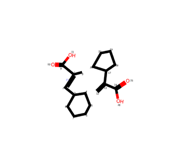 C/C(=C\C1CCCCC1)C(=O)O.C=C(C(=O)O)C1CCCC1